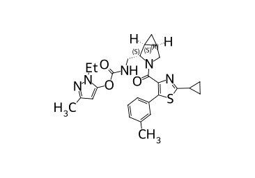 CCn1nc(C)cc1OC(=O)NC[C@@H]1[C@H]2C[C@H]2CN1C(=O)c1nc(C2CC2)sc1-c1cccc(C)c1